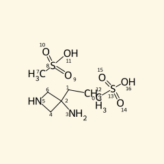 CCC1(N)CNC1.CS(=O)(=O)O.CS(=O)(=O)O